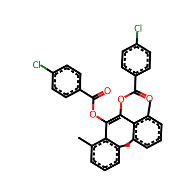 Cc1cccc(C)c1C(OC(=O)c1ccc(Cl)cc1)=C(OC(=O)c1ccc(Cl)cc1)c1c(C)cccc1C